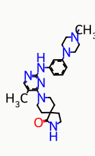 Cc1cnc(Nc2cccc(N3CCN(C)CC3)c2)nc1N1CCC2(CCNC2=O)CC1